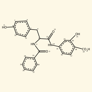 O=C(NC(Cc1ccc(O)cc1)C(=O)Nc1ccc(C(=O)O)c(O)c1)c1ccccc1